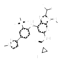 Cn1ccc(-c2ccc(Nc3cc(NC(=O)[C@@H]4C[C@@H]4F)nc4c3nc(C(F)F)n4PI)c(S(C)(=O)=O)c2)n1